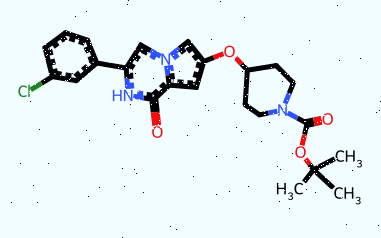 CC(C)(C)OC(=O)N1CCC(Oc2cc3c(=O)[nH]c(-c4cccc(Cl)c4)cn3c2)CC1